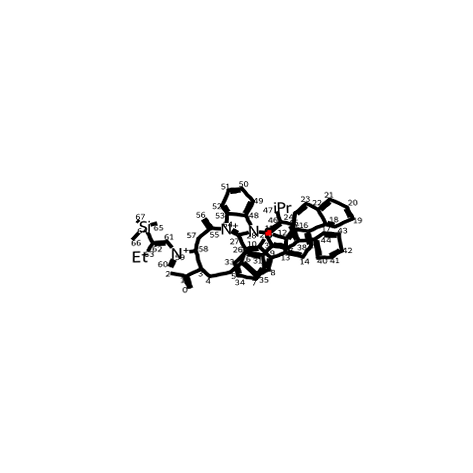 C=C(C)C1CCc2ccc3c(sc4c3ccc3c5ccccc5ccc34)c2-c2n(-c3c(-c4ccccc4)cc(-c4ccccc4)cc3C(C)C)c3ccccc3[n+]2C(=C)CC1[N+](=C)/C=C(\CC)[Si](C)(C)C